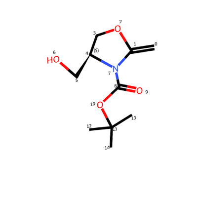 C=C1OC[C@H](CO)N1C(=O)OC(C)(C)C